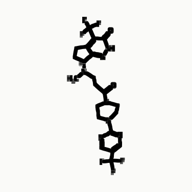 CN(CCC(=O)N1CCN(c2ncc(C(F)(F)F)cn2)CC1)[C@@H]1CCc2c1n[nH]c(=O)c2C(F)(F)F